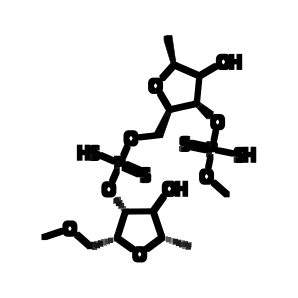 COC[C@H]1O[C@@H](C)C(O)[C@H]1OP(=S)(S)OC[C@H]1O[C@@H](C)C(O)[C@H]1OP(=S)(S)OC